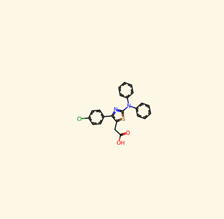 O=C(O)Cc1sc(N(c2ccccc2)c2ccccc2)nc1-c1ccc(Cl)cc1